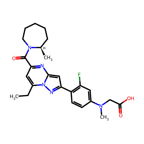 CCc1cc(C(=O)N2CCCCC[C@H]2C)nc2cc(-c3ccc(N(C)CC(=O)O)cc3F)nn12